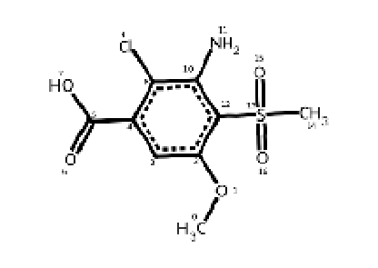 COc1cc(C(=O)O)c(Cl)c(N)c1S(C)(=O)=O